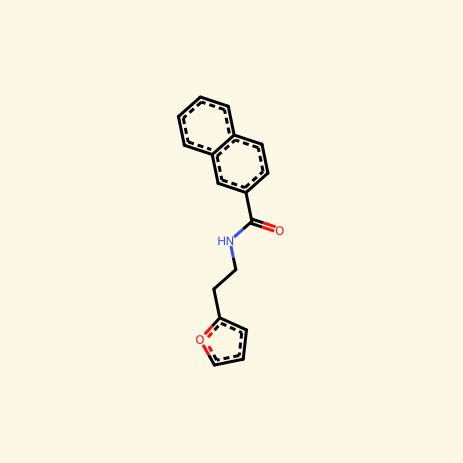 O=C(NCCc1ccco1)c1ccc2ccccc2c1